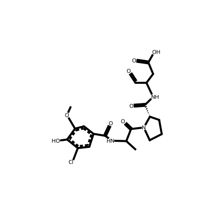 COc1cc(C(=O)NC(C)C(=O)N2CCC[C@H]2C(=O)NC(C=O)CC(=O)O)cc(Cl)c1O